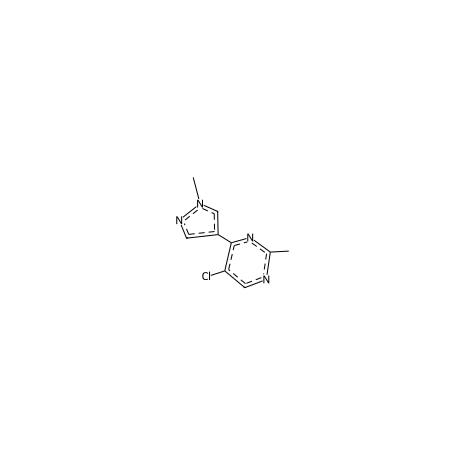 Cc1ncc(Cl)c(-c2cnn(C)c2)n1